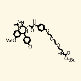 COc1ccc2c(c1)C(c1ccc(Cl)cc1)=N[C@@H](CC(=O)Nc1ccc(OCCOCCOCCNC(=O)OC(C)(C)C)cc1)c1nnc(C)n1-2